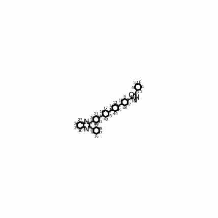 c1ccc(-c2nnc(-c3ccc(-c4ccc(-c5ccc(-c6ccc(-c7nc8ccccc8nc7-c7ccccc7)cc6)cc5)cc4)cc3)o2)cc1